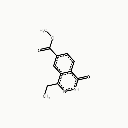 CCc1n[nH]c(=O)c2ccc(C(=O)OC)cc12